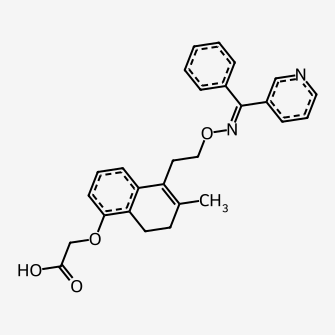 CC1=C(CCO/N=C(\c2ccccc2)c2cccnc2)c2cccc(OCC(=O)O)c2CC1